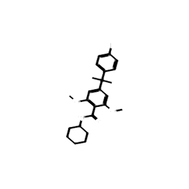 COc1cc(C(C)(C)c2ccc(F)cc2)cc(OC)c1C(=O)NC1CCCCC1